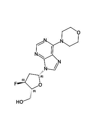 OC[C@H]1O[C@@H](n2cnc3c(N4CCOCC4)ncnc32)C[C@@H]1F